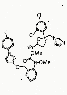 CCCC1COC(Cn2cncn2)(c2ccc(Cl)cc2Cl)O1.COC(=O)N(OC)c1ccccc1COc1ccn(-c2ccc(Cl)cc2)n1